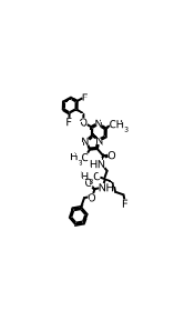 Cc1cn2c(C(=O)NCC(C)(CCCF)NC(=O)OCc3ccccc3)c(C)nc2c(OCc2c(F)cccc2F)n1